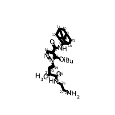 CC(C)COc1c(C(=O)NC2C3CC4CC(C3)CC2C4)cnn1/C=C/C(C)C(=O)NCCN